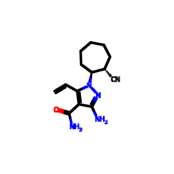 C=Cc1c(C(N)=O)c(N)nn1[C@H]1CCCCC[C@@H]1C#N